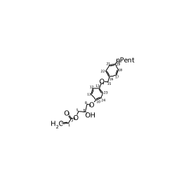 C=CC(=O)OCC(O)COc1ccc(OCc2ccc(CCCCC)cc2)cc1